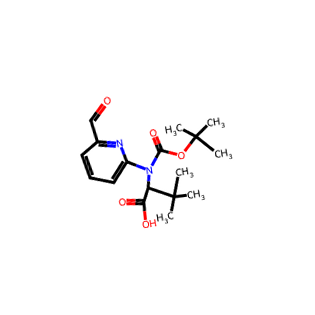 CC(C)(C)OC(=O)N(c1cccc(C=O)n1)C(C(=O)O)C(C)(C)C